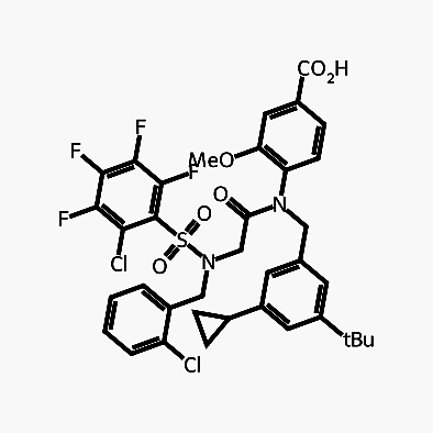 COc1cc(C(=O)O)ccc1N(Cc1cc(C2CC2)cc(C(C)(C)C)c1)C(=O)CN(Cc1ccccc1Cl)S(=O)(=O)c1c(F)c(F)c(F)c(F)c1Cl